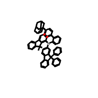 CC1(C)c2ccccc2-c2cccc(N(c3ccc4c(c3)C(c3ccccc3)(c3ccccc3)c3ccccc3-4)c3ccccc3-c3ccc(C45CC6CC(CC(C6)C4)C5)cc3)c21